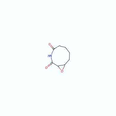 O=C1CCCCC2OC2C(=O)N1